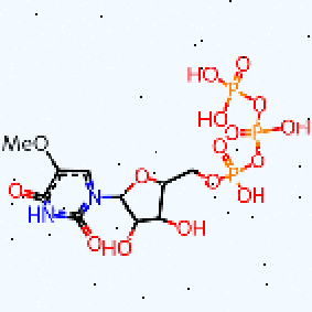 COc1cn(C2OC(COP(=O)(O)OP(=O)(O)OP(=O)(O)O)C(O)C2O)c(=O)[nH]c1=O